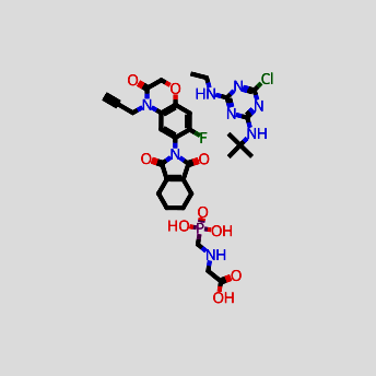 C#CCN1C(=O)COc2cc(F)c(N3C(=O)C4=C(CCCC4)C3=O)cc21.CCNc1nc(Cl)nc(NC(C)(C)C)n1.O=C(O)CNCP(=O)(O)O